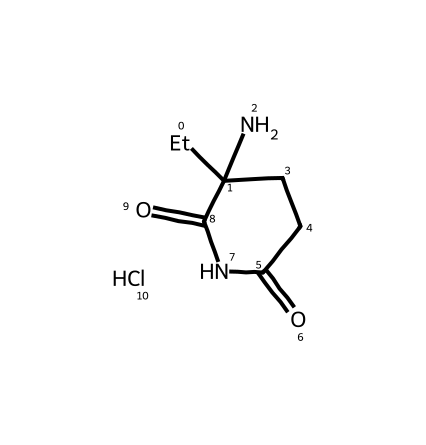 CCC1(N)CCC(=O)NC1=O.Cl